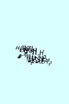 COc1cc(Nc2ncc(F)c(Nc3ncc4c(n3)NC(=O)C(C)(C)O4)n2)cc(OC)c1OC